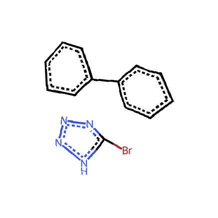 Brc1nnn[nH]1.c1ccc(-c2ccccc2)cc1